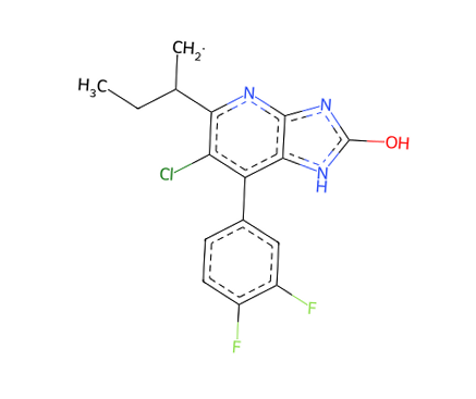 [CH2]C(CC)c1nc2nc(O)[nH]c2c(-c2ccc(F)c(F)c2)c1Cl